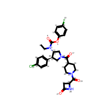 CCN(C(=O)Oc1ccc(F)cc1)[C@@H]1CN(C(=O)C2CCN(C(=O)C3CC(=O)N3)CC2)C[C@H]1c1ccc(Cl)cc1